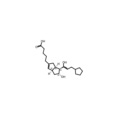 O=C(O)CCCCC1=C[C@@H]2C[C@@H](O)[C@H](C(O)=CCC3CCCC3)[C@@H]2C1